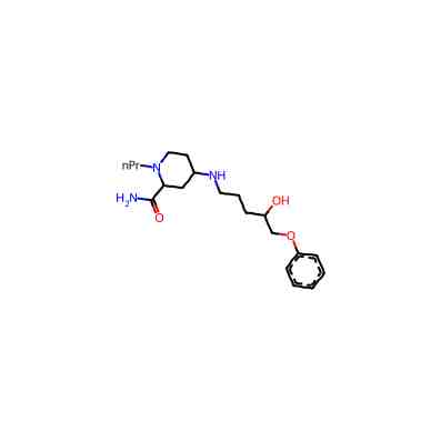 CCCN1CCC(NCCCC(O)COc2ccccc2)CC1C(N)=O